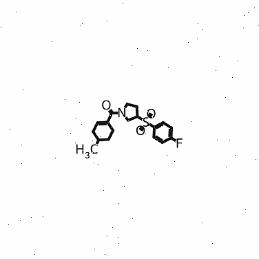 CC1CC=C(C(=O)N2CCC(S(=O)(=O)c3ccc(F)cc3)C2)CC1